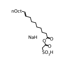 CCCCCCCCC=CCCCCCCCC(=O)OC(=O)CS(=O)(=O)O.[NaH]